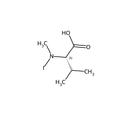 CC(C)[C@@H](C(=O)O)N(C)I